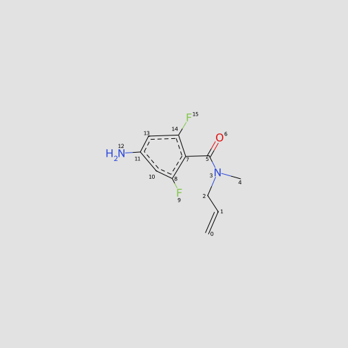 C=CCN(C)C(=O)c1c(F)cc(N)cc1F